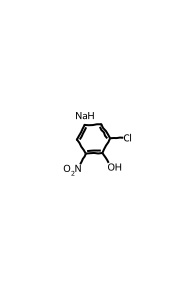 O=[N+]([O-])c1cccc(Cl)c1O.[NaH]